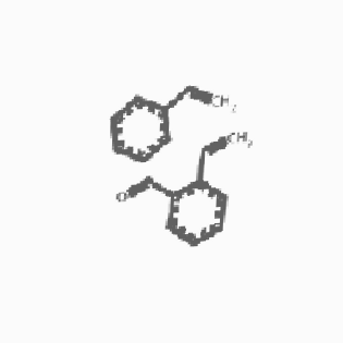 C=Cc1ccccc1.C=Cc1ccccc1C=O